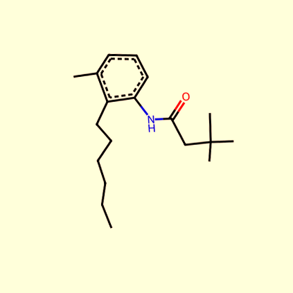 CCCCCCc1c(C)cccc1NC(=O)CC(C)(C)C